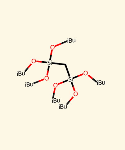 CCC(C)O[Si](C[Si](OC(C)CC)(OC(C)CC)OC(C)CC)(OC(C)CC)OC(C)CC